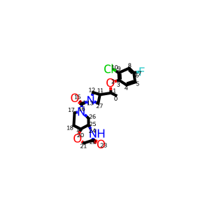 CC(Oc1ccc(F)cc1Cl)C1CN(C(=O)N2CCC3OCC(=O)NC3C2)C1